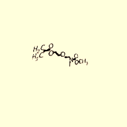 C=C(C)C(=O)OCCOCCN(I)C(=O)OC